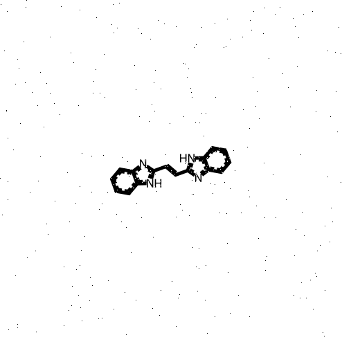 C(=C\c1nc2ccccc2[nH]1)/c1nc2ccccc2[nH]1